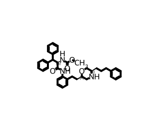 COC(=O)N[C@H](C(=O)Nc1ccccc1CC[C@@H]1CN[C@H](CCCc2ccccc2)CO1)C(c1ccccc1)c1ccccc1